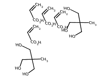 C=CC(=O)O.C=CC(=O)O.C=CC(=O)O.C=CC(=O)O.CC(CO)(CO)CO.CC(CO)(CO)CO